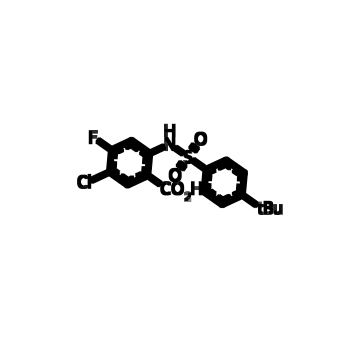 CC(C)(C)c1ccc(S(=O)(=O)Nc2cc(F)c(Cl)cc2C(=O)O)cc1